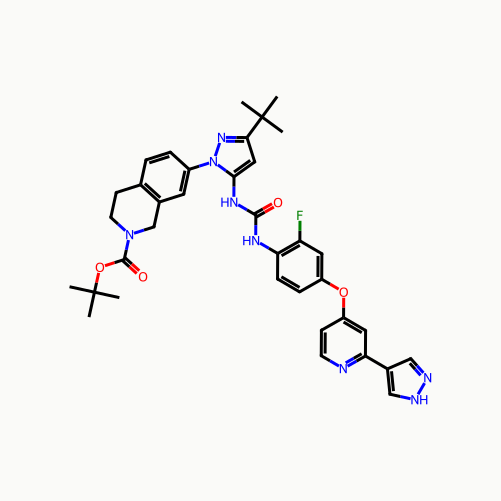 CC(C)(C)OC(=O)N1CCc2ccc(-n3nc(C(C)(C)C)cc3NC(=O)Nc3ccc(Oc4ccnc(-c5cn[nH]c5)c4)cc3F)cc2C1